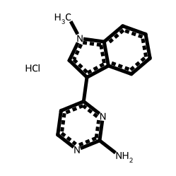 Cl.Cn1cc(-c2ccnc(N)n2)c2ccccc21